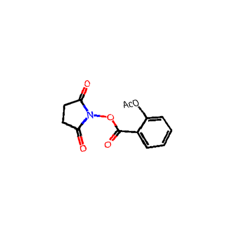 CC(=O)Oc1ccccc1C(=O)ON1C(=O)CCC1=O